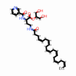 CC/C=C\C/C=C\C/C=C\C/C=C\C/C=C\C/C=C\CCC(=O)NCCC(NC(=O)c1cccnc1)C(=O)OC(CO)CO